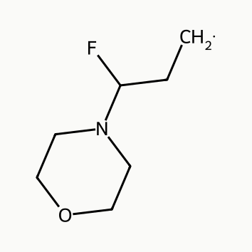 [CH2]CC(F)N1CCOCC1